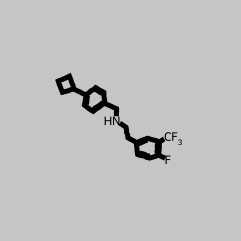 Fc1ccc(CCNCc2ccc(C3CCC3)cc2)cc1C(F)(F)F